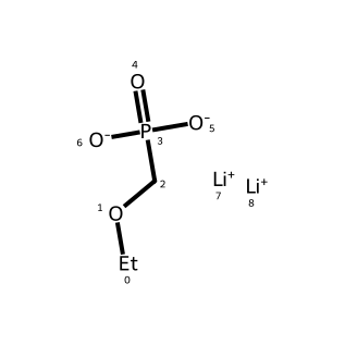 CCOCP(=O)([O-])[O-].[Li+].[Li+]